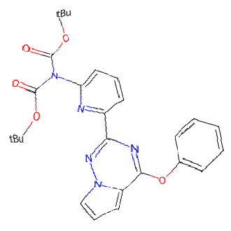 CC(C)(C)OC(=O)N(C(=O)OC(C)(C)C)c1cccc(-c2nc(Oc3ccccc3)c3cccn3n2)n1